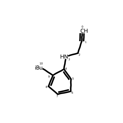 C#CCNc1ccccc1C(C)CC